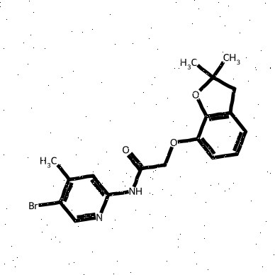 Cc1cc(NC(=O)COc2cccc3c2OC(C)(C)C3)ncc1Br